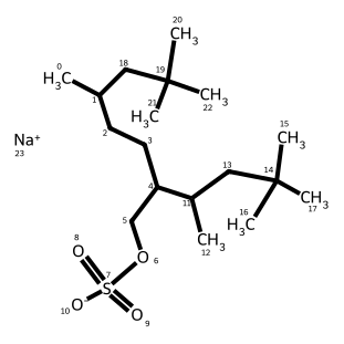 CC(CCC(COS(=O)(=O)[O-])C(C)CC(C)(C)C)CC(C)(C)C.[Na+]